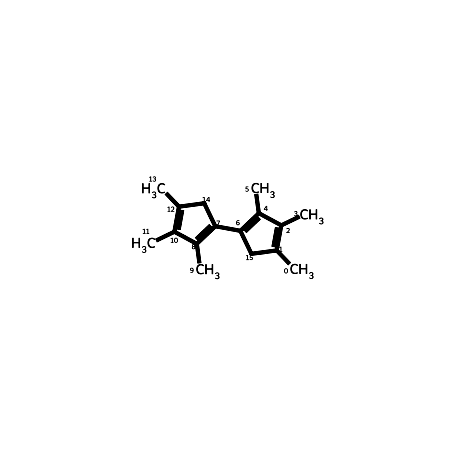 CC1=C(C)C(C)=C(C2=C(C)C(C)=C(C)C2)C1